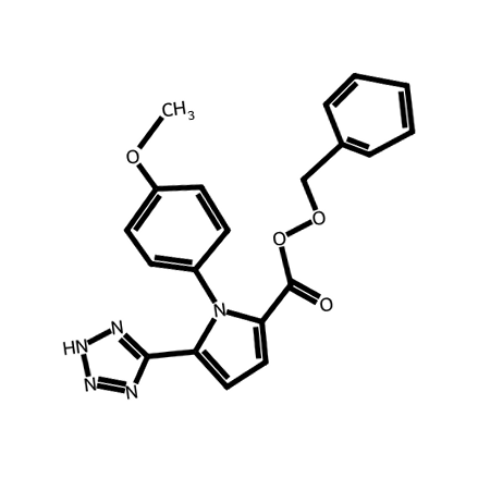 COc1ccc(-n2c(C(=O)OOCc3ccccc3)ccc2-c2nn[nH]n2)cc1